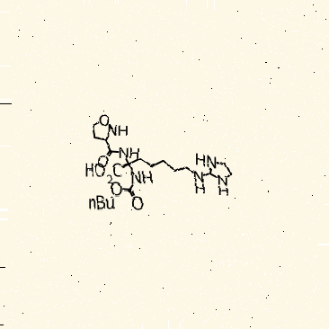 CCCCOC(=O)NC(CCCCCNC1NCCN1)(NC(=O)C1CCON1)C(=O)O